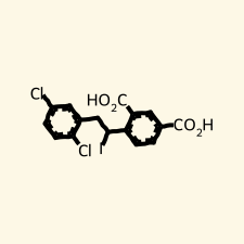 O=C(O)c1ccc(C(I)Cc2cc(Cl)ccc2Cl)c(C(=O)O)c1